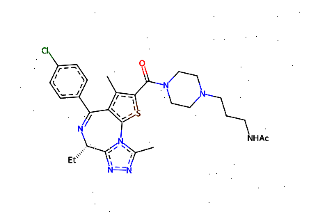 CC[C@@H]1N=C(c2ccc(Cl)cc2)c2c(sc(C(=O)N3CCN(CCCNC(C)=O)CC3)c2C)-n2c(C)nnc21